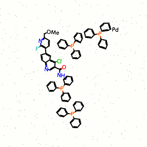 COCc1ccc(-c2ccc3ncc(C(N)=O)c(Cl)c3c2)c(F)n1.[Pd].c1ccc(P(c2ccccc2)c2ccccc2)cc1.c1ccc(P(c2ccccc2)c2ccccc2)cc1.c1ccc(P(c2ccccc2)c2ccccc2)cc1.c1ccc(P(c2ccccc2)c2ccccc2)cc1